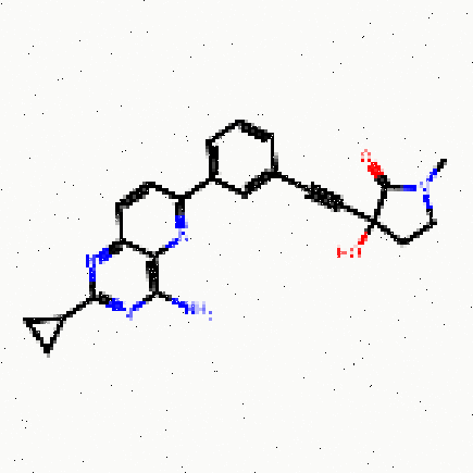 CN1CCC(O)(C#Cc2cccc(-c3ccc4nc(C5CC5)nc(N)c4n3)c2)C1=O